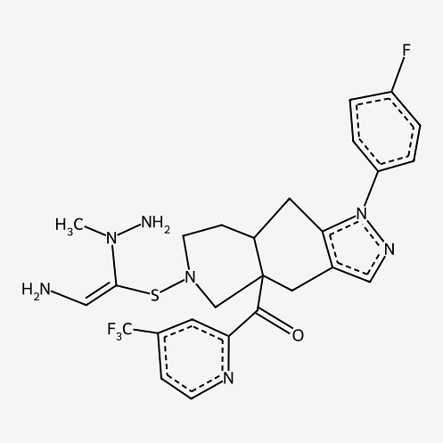 CN(N)/C(=C\N)SN1CCC2Cc3c(cnn3-c3ccc(F)cc3)CC2(C(=O)c2cc(C(F)(F)F)ccn2)C1